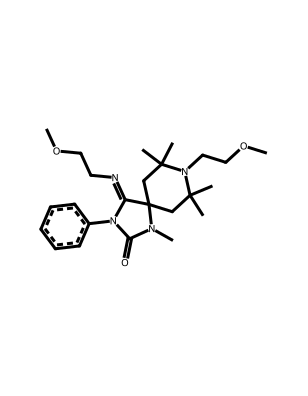 COCCN=C1N(c2ccccc2)C(=O)N(C)C12CC(C)(C)N(CCOC)C(C)(C)C2